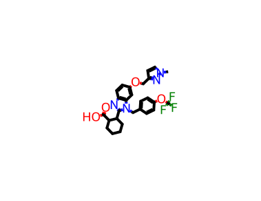 Cn1ccc(COc2ccc3nc(C4CCCCC4C(=O)O)n(Cc4ccc(OC(F)(F)F)cc4)c3c2)n1